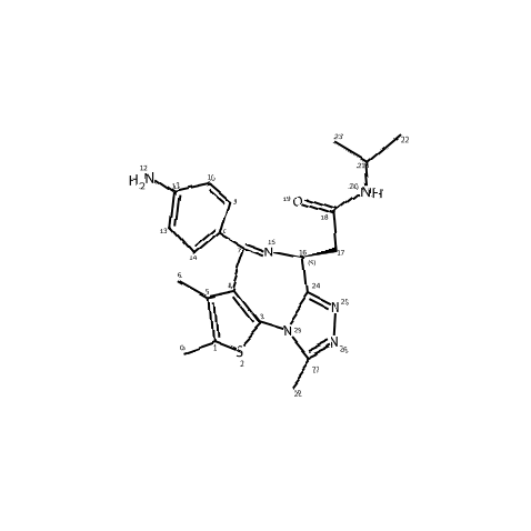 Cc1sc2c(c1C)C(c1ccc(N)cc1)=N[C@@H](CC(=O)NC(C)C)c1nnc(C)n1-2